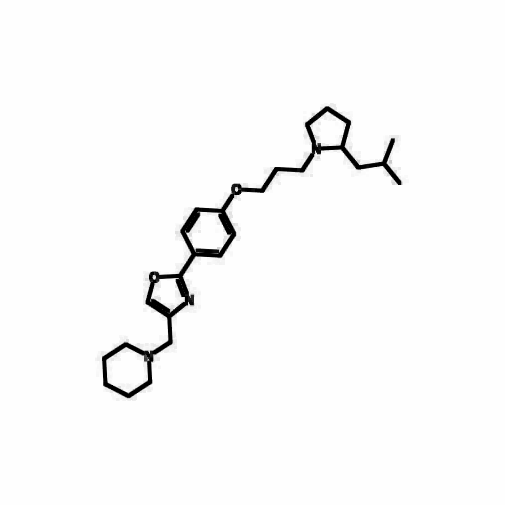 CC(C)CC1CCCN1CCCOc1ccc(-c2nc(CN3CCCCC3)co2)cc1